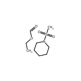 CCOC=O.CS(=O)(=O)N1CCCCC1